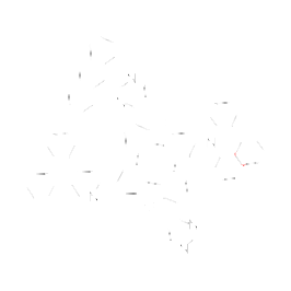 CC(C)c1nccc(-c2ccc3c4cc(N(c5ccccc5)c5ccccc5-c5ccccc5)cc5oc6c(-c7ccnc(-c8c9ccccc9cc9ccccc89)n7)ccc(c7cc(-c8cc(-c9ccccc9-c9ccccc9)ccn8)cc8oc2c3c87)c6c54)n1